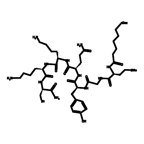 CCCCCCCCCCCCCCCC(=O)N[C@@H](CCSC)C(=O)NCC(=O)N[C@@H](Cc1ccc(O)cc1)C(=O)N[C@@H](CCC(N)=O)C(=O)N[C@@H](CCCCN)C(=O)N[C@@H](CCCCN)C(=O)N[C@@H](CC(C)C)C(N)=O